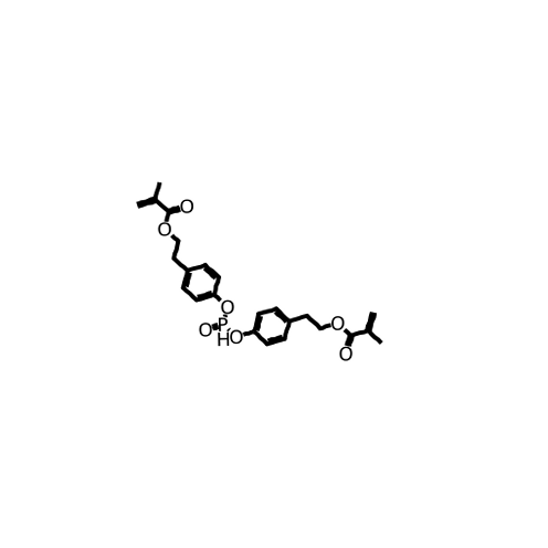 C=C(C)C(=O)OCCc1ccc(O[PH](=O)Oc2ccc(CCOC(=O)C(=C)C)cc2)cc1